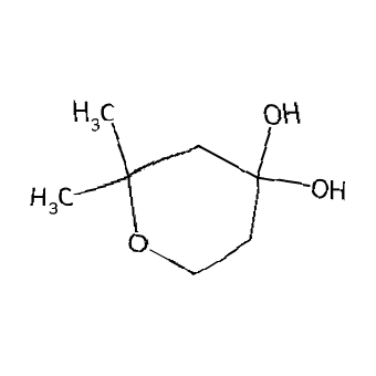 CC1(C)CC(O)(O)CCO1